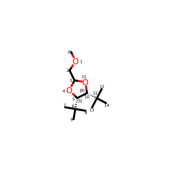 COCC1O[C@@H](C(C)(C)C)[C@@H](C(C)(C)C)O1